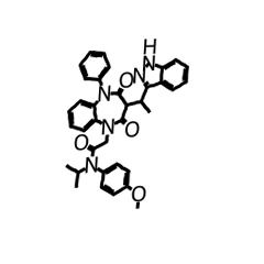 COc1ccc(N(C(=O)CN2C(=O)C(C(C)c3n[nH]c4ccccc34)C(=O)N(c3ccccc3)c3ccccc32)C(C)C)cc1